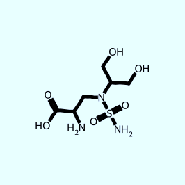 NC(CN(C(CO)CO)S(N)(=O)=O)C(=O)O